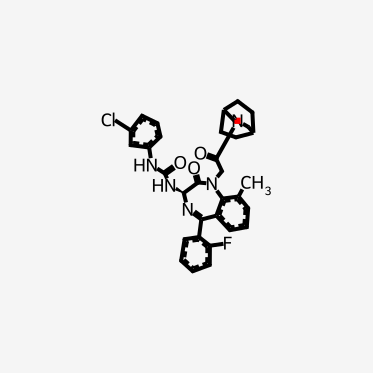 Cc1cccc2c1N(CC(=O)N1CC3CCC(CC3)C1)C(=O)[C@H](NC(=O)Nc1cccc(Cl)c1)N=C2c1ccccc1F